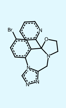 Brc1ccc2c(c1)C1(c3ccccn3)OCCN1Cc1nncn1-2